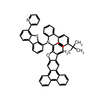 CC(C)(C)c1ccc(-c2ccccc2N(c2cccc3c2oc2cc4c5ccccc5c5ccccc5c4cc23)c2cccc3c2sc2c(-c4ccccn4)cccc23)cc1